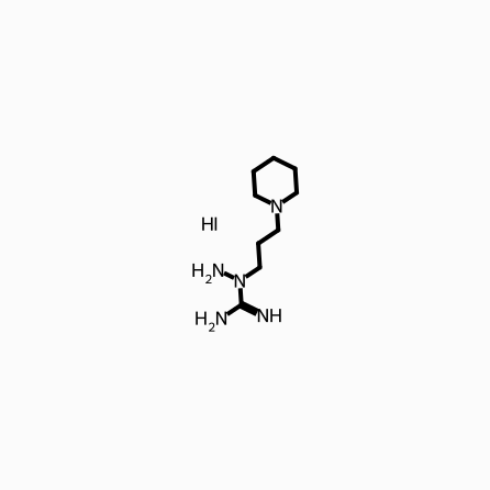 I.N=C(N)N(N)CCCN1CCCCC1